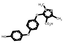 Cc1nn(C)c(Oc2ccc(Oc3ccc(O)cc3)cc2)c1C(=O)O